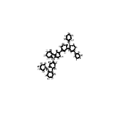 c1ccc(-c2ccc3c(c2)c2cc(-c4ccc5c(c4)c4ccccc4n5-c4ccc5c6ccccc6n(-c6ccccc6)c5c4)ccc2n3-c2ccccc2)cc1